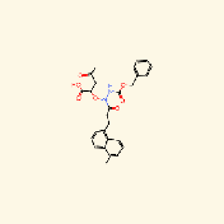 CC(=O)CC(ON(NC(=O)OCc1ccccc1)C(=O)CCc1cccc2c(C)cccc12)C(=O)O